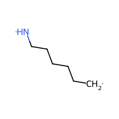 [CH2]CCCCC[NH]